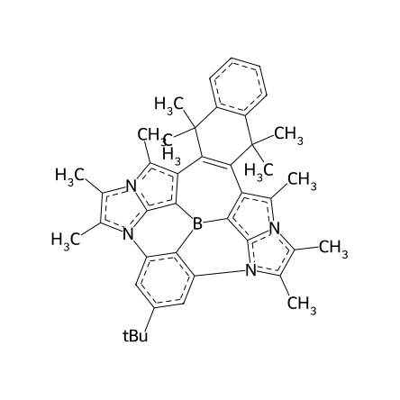 Cc1c(C)n2c(C)c3c4c2n1-c1cc(C(C)(C)C)cc2c1B4c1c(c(C)n4c(C)c(C)n-2c14)C1=C3C(C)(C)c2ccccc2C1(C)C